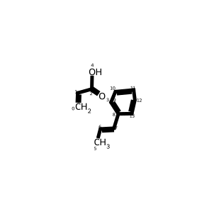 C=CC(=O)O.CC=Cc1ccccc1